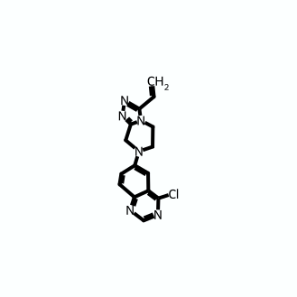 C=Cc1nnc2n1CCN(c1ccc3ncnc(Cl)c3c1)C2